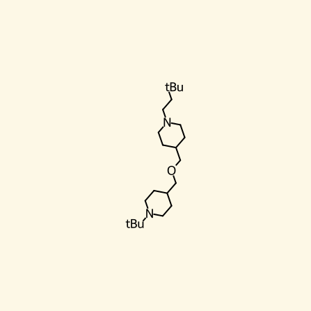 CC(C)(C)CCN1CCC(COCC2CCN(C(C)(C)C)CC2)CC1